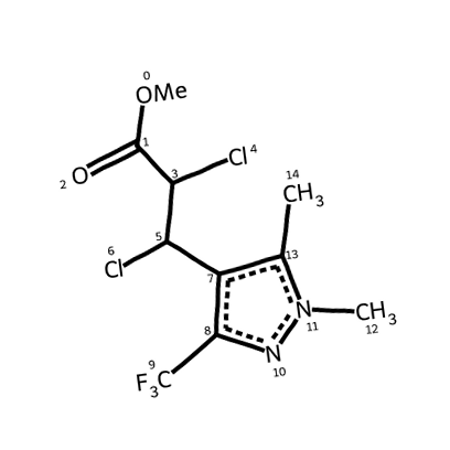 COC(=O)C(Cl)C(Cl)c1c(C(F)(F)F)nn(C)c1C